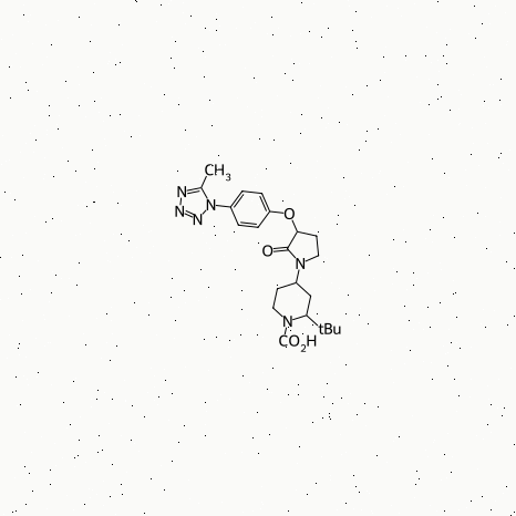 Cc1nnnn1-c1ccc(OC2CCN(C3CCN(C(=O)O)C(C(C)(C)C)C3)C2=O)cc1